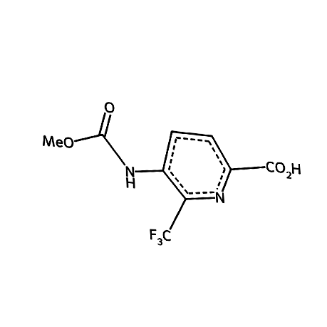 COC(=O)Nc1ccc(C(=O)O)nc1C(F)(F)F